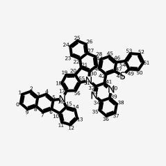 c1ccc2cc3c(cc2c1)c1ccccc1n3-c1ccc2c3c4ccccc4ccc3n(-c3nc4ccccc4nc3-c3cccc4c3sc3ccccc34)c2c1